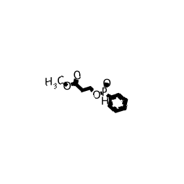 COC(=O)CCO[PH](=O)c1ccccc1